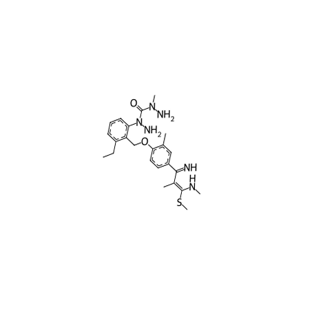 CCc1cccc(N(N)C(=O)N(C)N)c1COc1ccc(C(=N)/C(C)=C(\NC)SC)cc1C